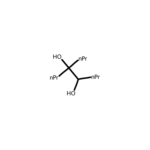 CCCC(O)C(O)(CCC)CCC